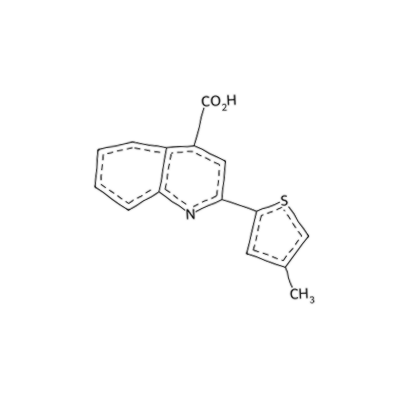 Cc1csc(-c2cc(C(=O)O)c3ccccc3n2)c1